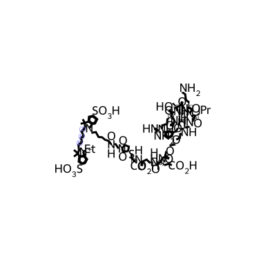 CC[N+]1=C(/C=C/C=C/C=C2\N(CCCCCC(=O)NCCN3C(=O)CC(SC[C@H](NC(=O)CCNC(=O)[C@H](CCC(=O)O)NC(=O)COCCOCCNC(=O)CNC(=O)[C@H](CC(C)C)NC(=O)[C@H](CCCCN)NC(=O)[C@H](CO)NC(=O)[C@H](CCCNC(=N)N)NC(=O)OCc4ccccc4)C(=O)O)C3=O)c3ccc(S(=O)(=O)O)cc3C2(C)C)C(C)(C)c2cc(S(=O)(=O)O)ccc21